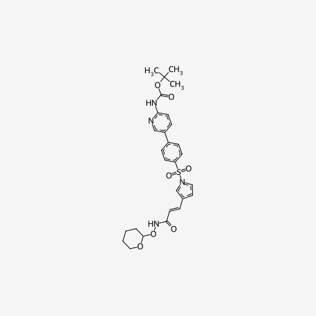 CC(C)(C)OC(=O)Nc1ccc(-c2ccc(S(=O)(=O)n3ccc(C=CC(=O)NOC4CCCCO4)c3)cc2)cn1